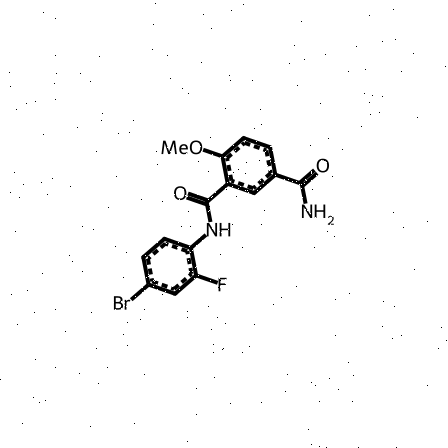 COc1ccc(C(N)=O)cc1C(=O)Nc1ccc(Br)cc1F